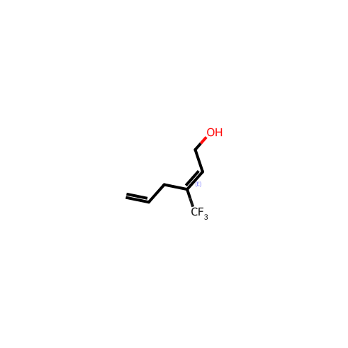 C=CC/C(=C\CO)C(F)(F)F